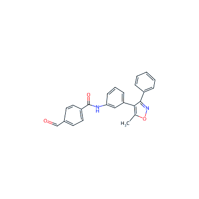 Cc1onc(-c2ccccc2)c1-c1cccc(NC(=O)c2ccc(C=O)cc2)c1